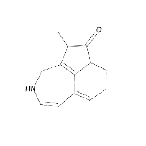 CC1C(=O)C2CCC=C3C=CNCC1=C32